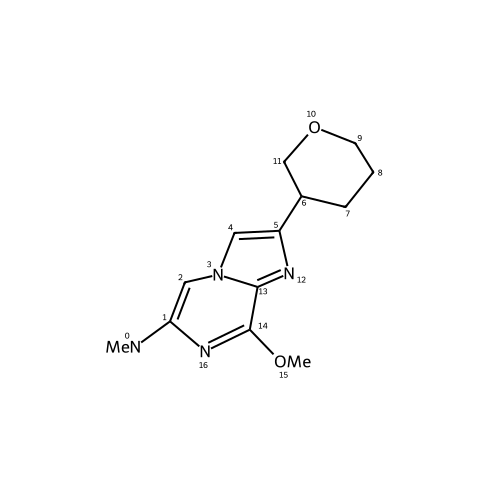 CNc1cn2cc(C3CCCOC3)nc2c(OC)n1